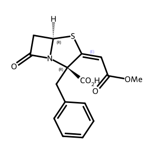 COC(=O)/C=C1/S[C@@H]2CC(=O)N2[C@]1(Cc1ccccc1)C(=O)O